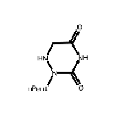 CCCCCN1NCC(=O)NC1=O